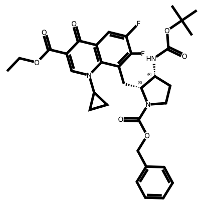 CCOC(=O)c1cn(C2CC2)c2c(C[C@@H]3[C@H](NC(=O)OC(C)(C)C)CCN3C(=O)OCc3ccccc3)c(F)c(F)cc2c1=O